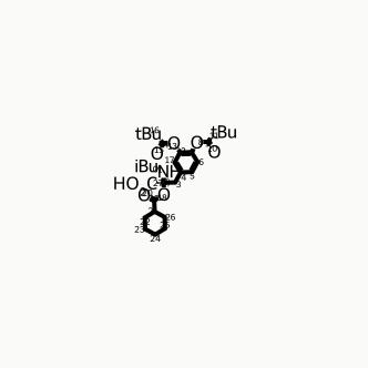 CCC(C)N[C@@](Cc1ccc(OC(=O)C(C)(C)C)c(OC(=O)C(C)(C)C)c1)(OC(=O)C1CCCCC1)C(=O)O